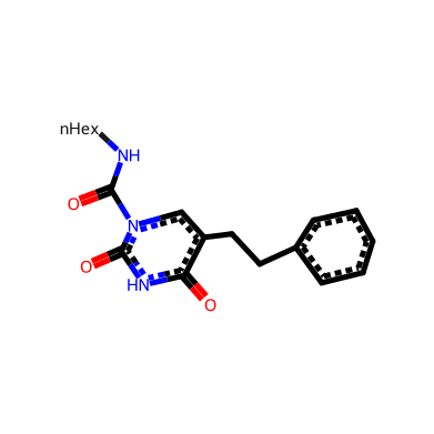 CCCCCCNC(=O)n1cc(CCc2ccccc2)c(=O)[nH]c1=O